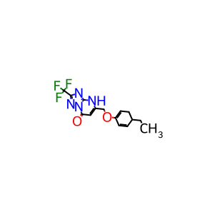 CCC1C=CC(OCc2cc(=O)n3nc(C(F)(F)F)nc3[nH]2)=CC1